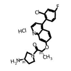 C[C@@H](Oc1ccc2c(-c3ccc(F)cc3Cl)ccnc2c1)C(=O)N1CC[C@@H](N)C1.Cl